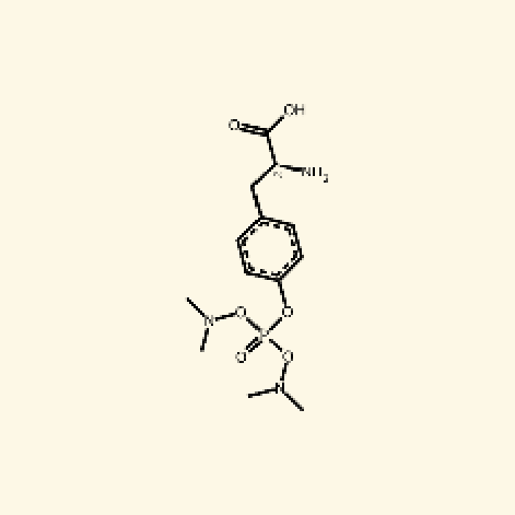 CN(C)OP(=O)(Oc1ccc(C[C@H](N)C(=O)O)cc1)ON(C)C